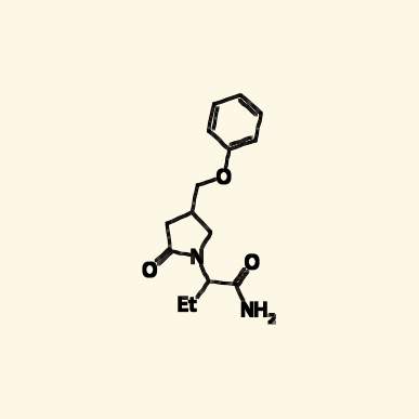 CCC(C(N)=O)N1CC(COc2ccccc2)CC1=O